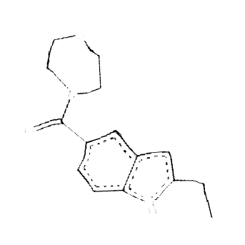 [CH2]Cc1cc2cc(C(=O)N3CCOCC3)ccc2[nH]1